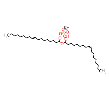 CCCCCCCCC=CCCCCCCCC(=O)OC(=O)CCCCCCC/C=C\CCCCCCCC.O=S(=O)(O)O.[KH]